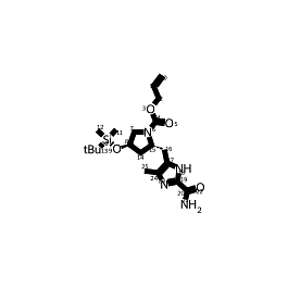 C=CCOC(=O)N1C[C@H](O[Si](C)(C)C(C)(C)C)C[C@H]1Cc1[nH]c(C(N)=O)nc1C